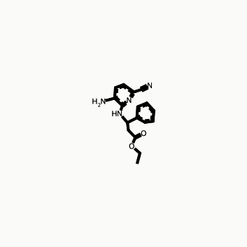 CCOC(=O)CC(Nc1nc(C#N)ccc1N)c1ccccc1